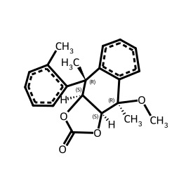 CO[C@]1(C)c2ccccc2[C@@](C)(c2ccccc2C)[C@@H]2OC(=O)O[C@@H]21